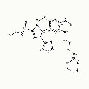 CCOC(=O)C1=CC(c2cccs2)C2c3cc(OCCCOC4CCCCO4)c(OC)cc3CCN12